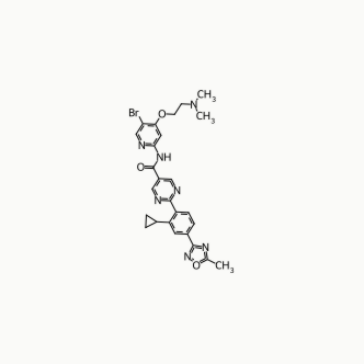 Cc1nc(-c2ccc(-c3ncc(C(=O)Nc4cc(OCCN(C)C)c(Br)cn4)cn3)c(C3CC3)c2)no1